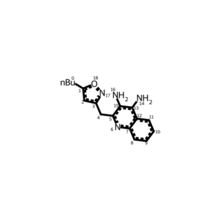 CCCCc1cc(Cc2nc3ccccc3c(N)c2N)no1